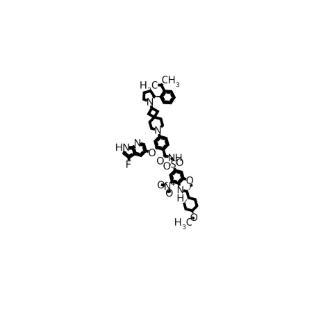 CO[C@H]1CC[C@H]([C@H]2COc3cc(S(=O)(=O)NC(=O)c4ccc(N5CCC6(CC5)CC(N5CCC[C@H]5c5ccccc5C(C)C)C6)cc4Oc4cnc5[nH]cc(F)c5c4)cc([N+](=O)[O-])c3N2)CC1